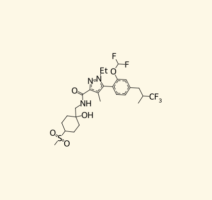 CCn1nc(C(=O)NCC2(O)CCC(S(C)(=O)=O)CC2)c(C)c1-c1ccc(CC(C)C(F)(F)F)cc1OC(F)F